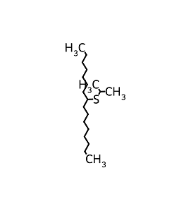 CCCCCCCCC(CCCCCCC)SC(C)C